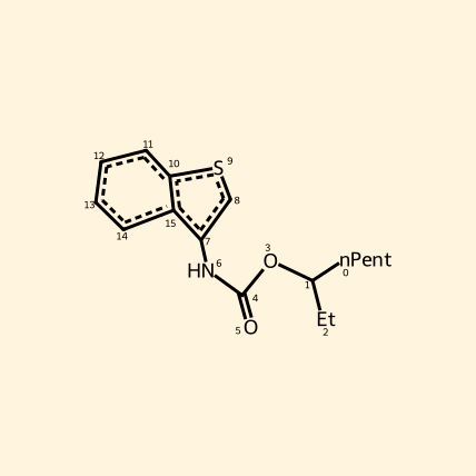 CCCCCC(CC)OC(=O)Nc1csc2ccccc12